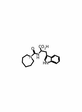 O=C(O)C(Cc1c[nH]c2ccccc12)NC(=O)N1CCCCCC1